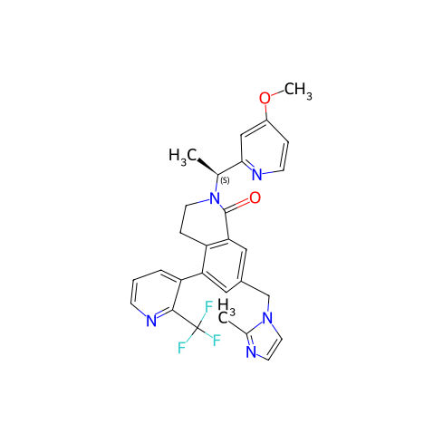 COc1ccnc([C@H](C)N2CCc3c(cc(Cn4ccnc4C)cc3-c3cccnc3C(F)(F)F)C2=O)c1